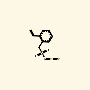 C=Cc1ccccc1CS(=O)(=O)N=[N+]=[N-]